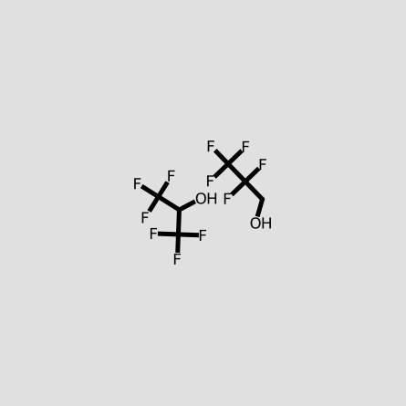 OC(C(F)(F)F)C(F)(F)F.OCC(F)(F)C(F)(F)F